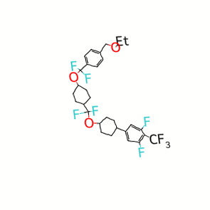 CCOCc1ccc(C(F)(F)OC2CCC(C(F)(F)OC3CCC(c4cc(F)c(C(F)(F)F)c(F)c4)CC3)CC2)cc1